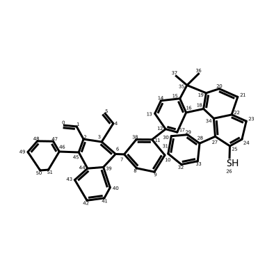 C=Cc1c(C=C)c(-c2cccc(-c3ccc4c(c3)-c3c(ccc5ccc(S)c(-c6ccccc6)c35)C4(C)C)c2)c2ccccc2c1C1=CC=CCC1